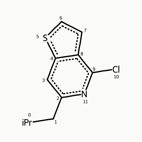 CC(C)Cc1cc2sccc2c(Cl)n1